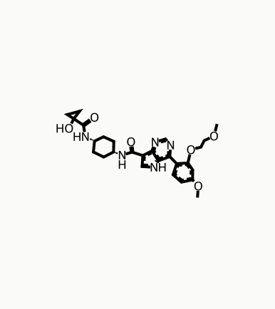 COCCOc1cc(OC)ccc1-c1ncnc2c(C(=O)N[C@H]3CC[C@@H](NC(=O)C4(O)CC4)CC3)c[nH]c12